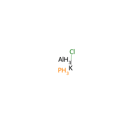 P.[AlH3].[Cl][K]